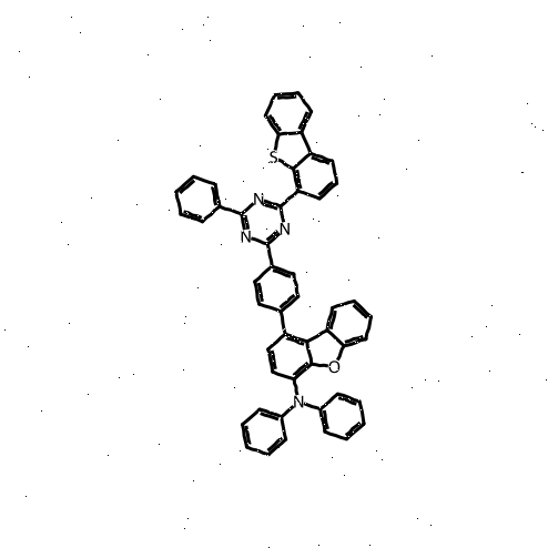 c1ccc(-c2nc(-c3ccc(-c4ccc(N(c5ccccc5)c5ccccc5)c5oc6ccccc6c45)cc3)nc(-c3cccc4c3sc3ccccc34)n2)cc1